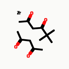 CC(=O)CC(=O)C(C)(C)C.CC(=O)CC(C)=O.[Zr]